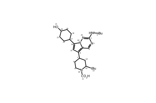 CCC(C)Nc1ncc2c(C3CCN(C(=O)O)C(C(C)(C)C)C3)cc(C3CCC(O)CC3)n2n1